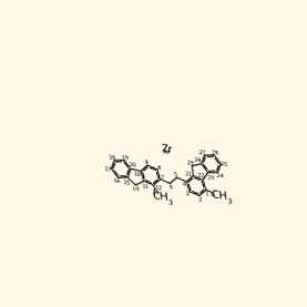 Cc1ccc(CCc2ccc3c(c2C)Cc2ccccc2-3)c2c1-c1ccccc1C2.[Zr]